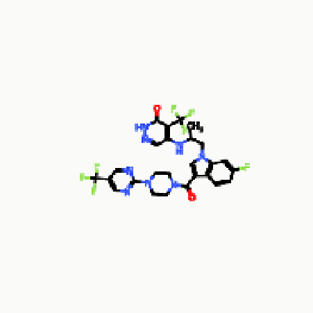 CC(Cn1cc(C(=O)N2CCN(c3ncc(C(F)(F)F)cn3)CC2)c2ccc(F)cc21)Nc1cn[nH]c(=O)c1C(F)(F)F